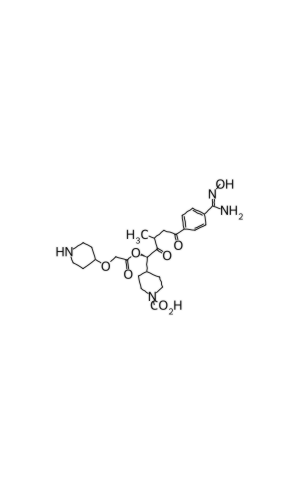 CC(CC(=O)c1ccc(C(N)=NO)cc1)C(=O)[C@H](OC(=O)COC1CCNCC1)C1CCN(C(=O)O)CC1